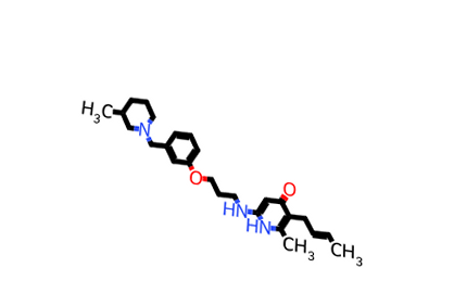 CC=CCc1c(C)[nH]c(NCCCOc2cccc(CN3CCCC(C)C3)c2)cc1=O